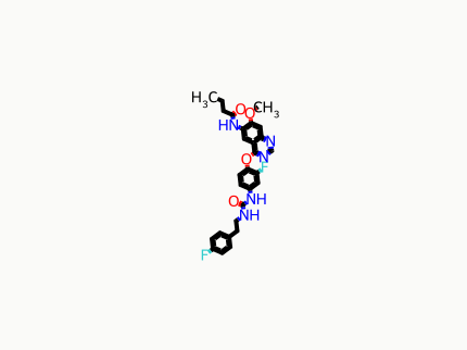 CCCC(=O)Nc1cc2c(Oc3ccc(NC(=O)NCCc4ccc(F)cc4)cc3F)ncnc2cc1OC